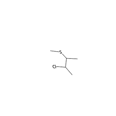 CSC(C)C(C)Cl